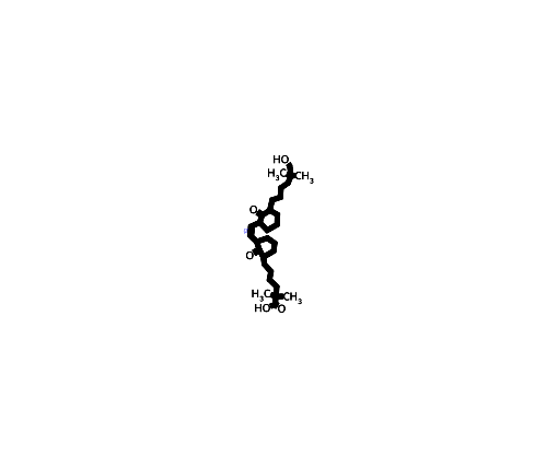 CC(C)(CO)CCCCC1CCCC(/C=C\C2CCCC(CCCCC(C)(C)C(=O)O)C2=O)C1=O